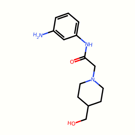 Nc1cccc(NC(=O)CN2CCC(CO)CC2)c1